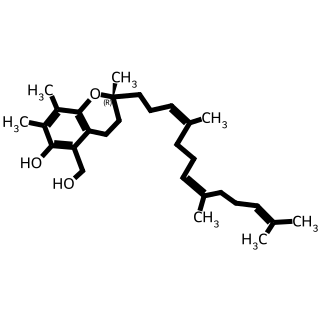 CC(C)=CCCC(C)=CCCC(C)=CCC[C@]1(C)CCc2c(CO)c(O)c(C)c(C)c2O1